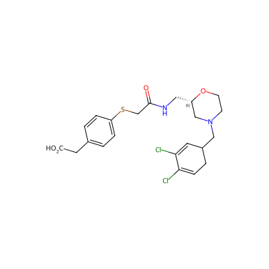 O=C(O)Cc1ccc(SCC(=O)NC[C@H]2CN(CC3C=C(Cl)C(Cl)=CC3)CCO2)cc1